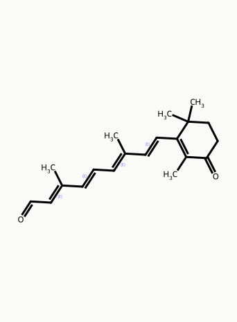 CC1=C(/C=C/C(C)=C/C=C/C(C)=C/C=O)C(C)(C)CCC1=O